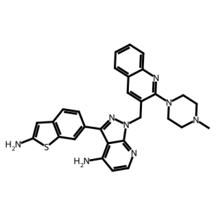 CN1CCN(c2nc3ccccc3cc2Cn2nc(-c3ccc4cc(N)sc4c3)c3c(N)ccnc32)CC1